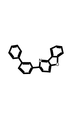 c1ccc(-c2cccc(-c3ccc4oc5ccccc5c4n3)c2)cc1